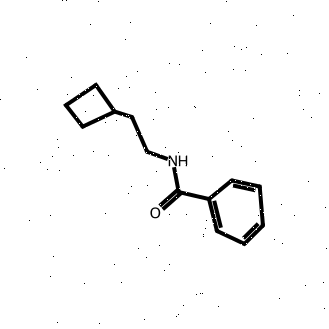 O=C(NCCC1CCC1)c1ccccc1